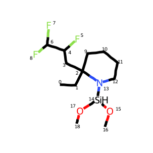 CCC1(CC(F)C(F)F)CCCCN1[SiH](OC)OC